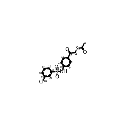 CC(=O)SCC(=O)c1ccc(NS(=O)(=O)c2cccc(Cl)c2)cc1